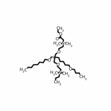 CCCCCCCCOC[C@@](CCCCCOCCCC)(COCC[N+](C)(C)CCC)COCC[N+](C)(C)CC(=O)OCC